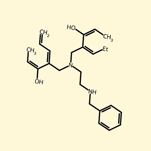 C=C/C=C(CN(CCNCc1ccccc1)CC(=C/CC)/C(O)=C\C)\C(O)=C/C